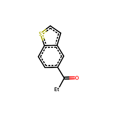 CCC(=O)c1ccc2sccc2c1